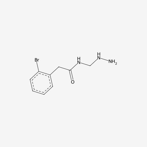 NNCNC(=O)Cc1ccccc1Br